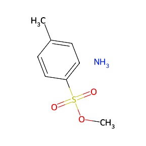 COS(=O)(=O)c1ccc(C)cc1.N